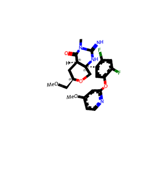 COC[C@H]1C[C@H]2C(=O)N(C)C(=N)N[C@@]2(c2cc(Oc3cc(OC)ccn3)c(F)cc2F)CO1